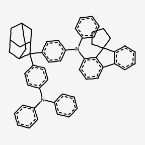 c1ccc(N(c2ccccc2)c2ccc(C3(c4ccc(N(c5ccccc5)c5cccc6c5C5(CCCC5)c5ccccc5-6)cc4)C4CC5CC(C4)CC3C5)cc2)cc1